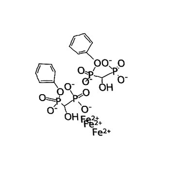 O=P([O-])([O-])C(O)P(=O)([O-])Oc1ccccc1.O=P([O-])([O-])C(O)P(=O)([O-])Oc1ccccc1.[Fe+2].[Fe+2].[Fe+2]